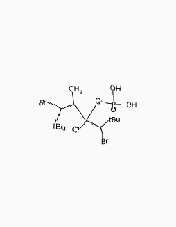 CC(C(Br)C(C)(C)C)C(Cl)(OP(=O)(O)O)C(Br)C(C)(C)C